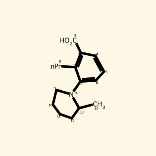 CCCc1c(C(=O)O)cccc1N1CCCCC1C